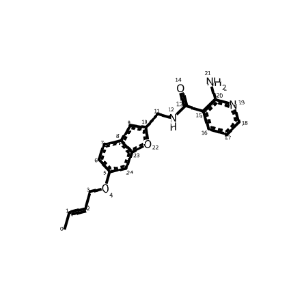 CC=CCOc1ccc2cc(CNC(=O)c3cccnc3N)oc2c1